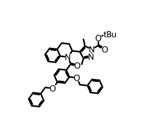 Cc1nn(C(=O)OC(C)(C)C)c(C)c1C1CCc2ccccc2N1C(=O)c1ccc(OCc2ccccc2)cc1OCc1ccccc1